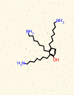 NCCCCCCCc1ccc(O)c(CCCCCCCN)c1CCCCCCCN